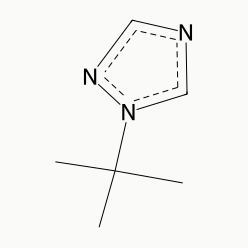 CC(C)(C)n1cncn1